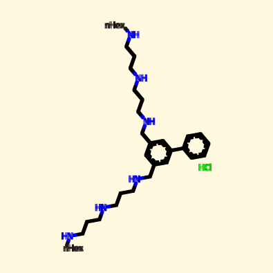 CCCCCCNCCCNCCCNCc1cc(CNCCCNCCCNCCCCCC)cc(-c2ccccc2)c1.Cl